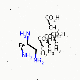 CC(=O)O.CC(=O)O.CC(=O)O.CC(=O)O.NCCN.[NH2][Fe]